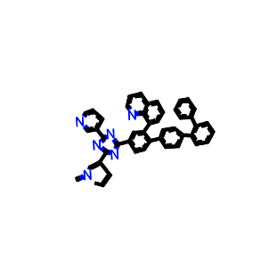 C=N/C=C(\C=C/C)c1nc(-c2cccnc2)nc(-c2ccc(-c3ccc(-c4ccccc4-c4ccccc4)cc3)c(-c3cccc4cccnc34)c2)n1